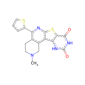 CN1CCc2c(-c3cccs3)nc3sc4c(=O)[nH]c(=O)[nH]c4c3c2C1